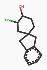 OC1CCC2(Cc3ccccc3C2)CC1Br